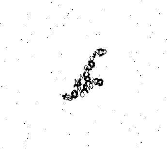 Cc1c(N(C(=O)c2cc(-c3cc4c(cc3C(=O)N3Cc5ccccc5C[C@H]3C)CN(C(=O)Cc3ccc(OCCN5CCOCC5)cc3)CC4)n(C)c2C)c2ccc(O[Si](C)(C)C(C)(C)C)cc2)cc(C#N)n1C